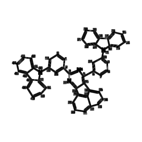 c1cc(-c2nc(-c3cccc(-n4c5ccccc5c5ccccc54)c3)c3c(n2)-c2cccc4cccc-3c24)cc(-n2c3ccccc3c3ccccc32)c1